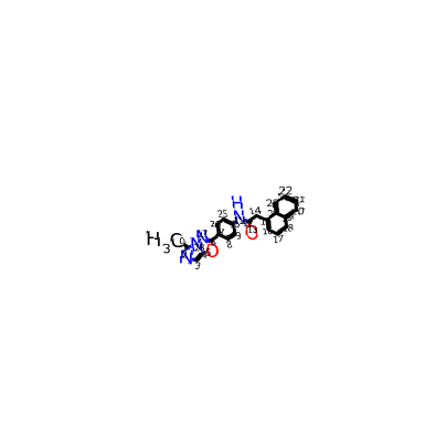 Cc1ncc2oc(-c3ccc(NC(=O)Cc4cccc5ccccc45)cc3)nn12